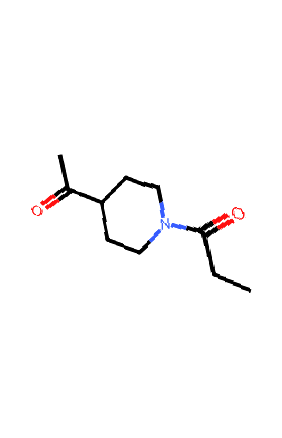 CCC(=O)N1CCC(C(C)=O)CC1